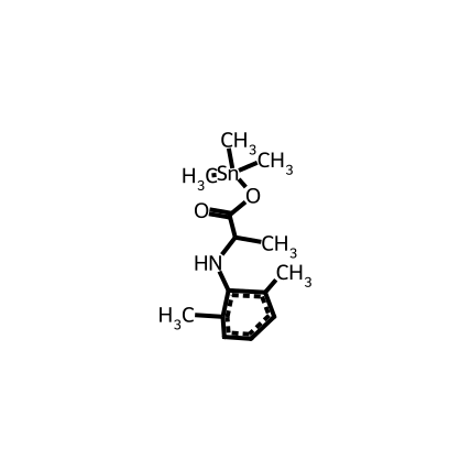 Cc1cccc(C)c1NC(C)C(=O)[O][Sn]([CH3])([CH3])[CH3]